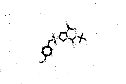 COc1ccc(CS(=O)(=O)[C@@H]2C[C@@H](C(=O)O)N(C(O)OC(C)(C)C)C2)cc1